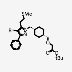 CSCCc1c(Br)c(-c2ccccc2)nn1C[C@H]1CC[C@@H](COCC(=O)OC(C)(C)C)CC1